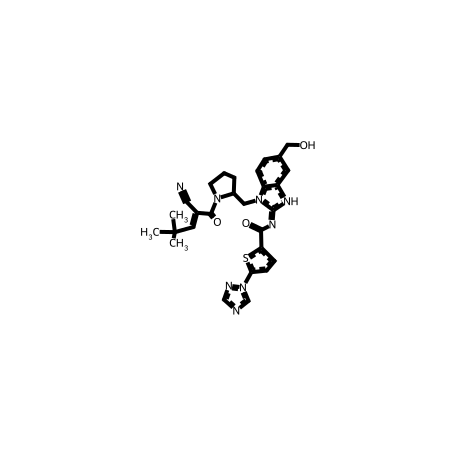 CC(C)(C)C=C(C#N)C(=O)N1CCCC1Cn1c(=NC(=O)c2ccc(-n3cncn3)s2)[nH]c2cc(CO)ccc21